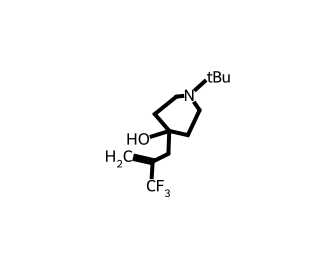 C=C(CC1(O)CCN(C(C)(C)C)CC1)C(F)(F)F